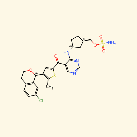 Cc1sc(C(=O)c2cncnc2N[C@@H]2C[CH][C@@H](COS(N)(=O)=O)C2)cc1[C@@H]1OCCc2ccc(Cl)cc21